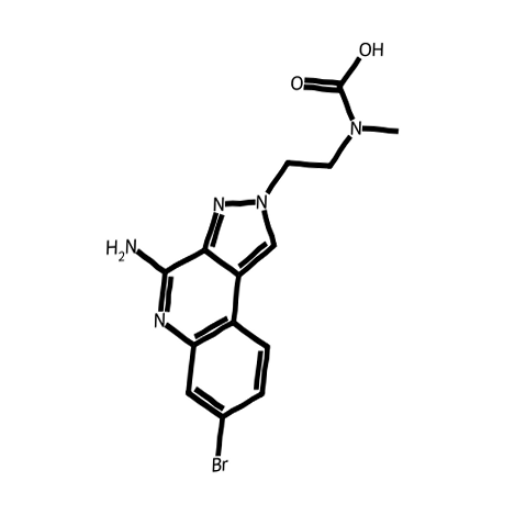 CN(CCn1cc2c(n1)c(N)nc1cc(Br)ccc12)C(=O)O